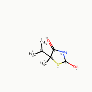 CC(C)C1(C)SC(O)NC1=O